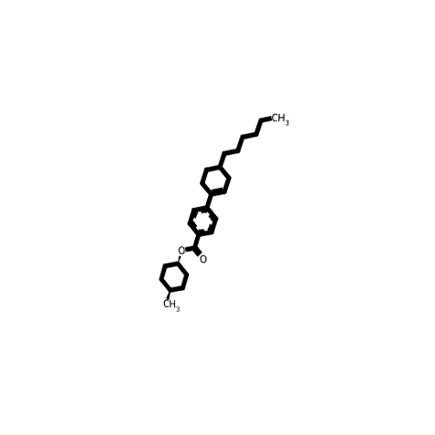 CCCCCCC1CC=C(c2ccc(C(=O)O[C@H]3CC[C@H](C)CC3)cc2)CC1